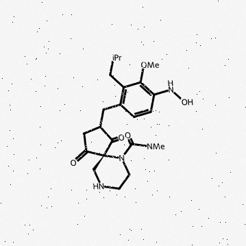 CNC(=O)N1CCNC[C@]12C(=O)CC(Cc1ccc(NO)c(OC)c1CC(C)C)C2=O